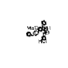 COc1cc2c(cc1N1CCN(Cc3ccccc3)CC1)c(=S(=O)=O)[nH]n2-c1ccccc1.Cl.c1ccccc1